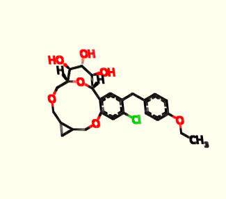 CCOc1ccc(Cc2cc3c(cc2Cl)OCC2CC2COC[C@H]2O[C@@H]3[C@H](O)[C@@H](O)[C@@H]2O)cc1